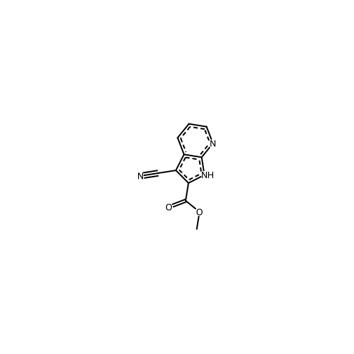 COC(=O)c1[nH]c2ncccc2c1C#N